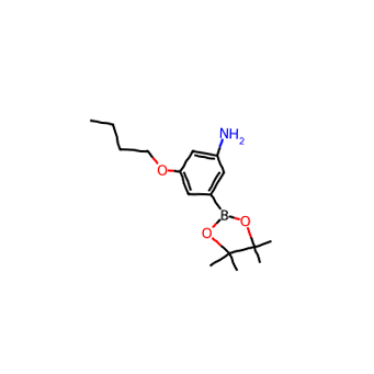 CCCCOc1cc(N)cc(B2OC(C)(C)C(C)(C)O2)c1